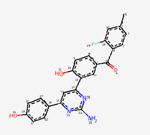 Cc1ccc(C(=O)c2ccc(O)c(-c3cc(-c4ccc(O)cc4)nc(N)n3)c2)c(F)c1